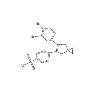 CS(=O)(=O)c1ccc(C2=C(c3ccc(Br)c(Br)c3)CC3(CC3)C2)cc1